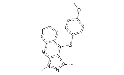 COc1ccc(Sc2c3ccccc3nc3c2c(C)nn3C)cc1